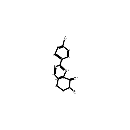 O=C1c2nc(-c3ccc(Br)cc3)ncc2CCC1Br